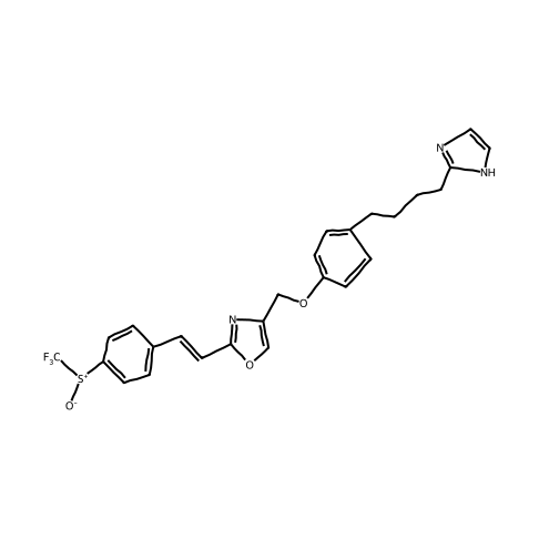 [O-][S+](c1ccc(C=Cc2nc(COc3ccc(CCCCc4ncc[nH]4)cc3)co2)cc1)C(F)(F)F